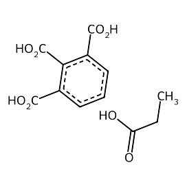 CCC(=O)O.O=C(O)c1cccc(C(=O)O)c1C(=O)O